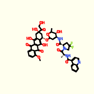 COc1cccc2c1C(=O)c1c(O)c3c(c(O)c1C2=O)C[C@@](O)(C(=O)CO)C[C@@H]3OC1CC(NC(=O)[C@@H]2CC(F)(F)CN2C(=O)[C@@H](C)NC(=O)c2ccnc3ccccc23)[C@@H](O)C(C)O1